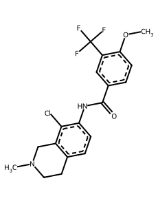 COc1ccc(C(=O)Nc2ccc3c(c2Cl)CN(C)CC3)cc1C(F)(F)F